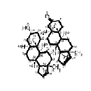 C[C@]12CCC(=O)C[C@@H]1CC[C@@H]1[C@@H]2CC[C@]2(C)C=CC[C@@H]12.C[C@]12CC[C@@H](O)C[C@@H]1CC[C@@H]1[C@@H]2CC[C@]2(C)C=CC[C@@H]12